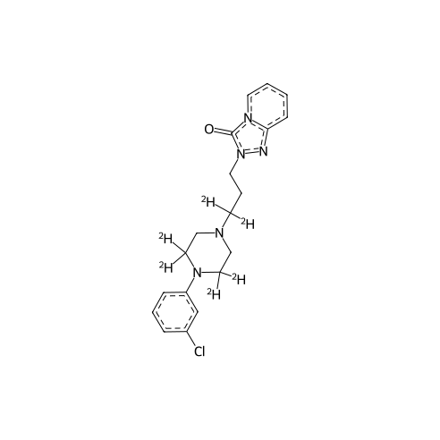 [2H]C([2H])(CCn1nc2ccccn2c1=O)N1CC([2H])([2H])N(c2cccc(Cl)c2)C([2H])([2H])C1